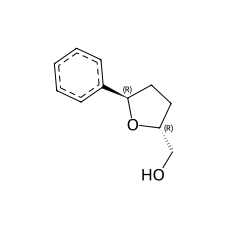 OC[C@H]1CC[C@H](c2ccccc2)O1